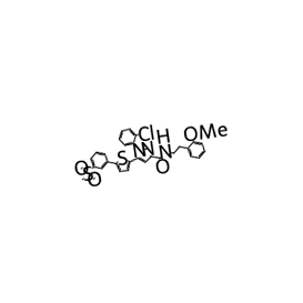 COc1ccccc1CCNC(=O)c1cc(-c2ccc(-c3cccc(S(C)(=O)=O)c3)s2)n(-c2ccccc2Cl)n1